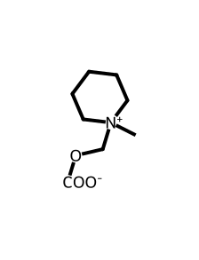 C[N+]1(COC(=O)[O-])CCCCC1